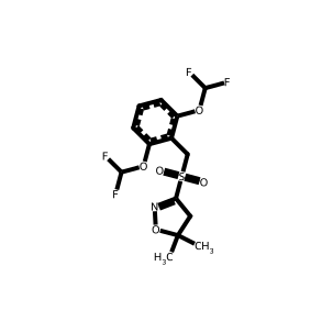 CC1(C)CC(S(=O)(=O)Cc2c(OC(F)F)cccc2OC(F)F)=NO1